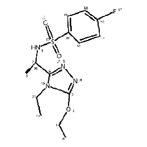 CCOc1nnc([C@@H](C)NS(=O)(=O)c2ccc(F)cc2)n1CC